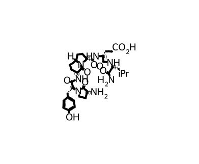 CC(C)C[C@@H](NC(=O)[C@@H](CCC(=O)O)NC(=O)[C@H]1CC[C@H]2CC[C@@H](NC(=O)[C@@H](Cc3ccc(O)cc3)N3CC[C@@H](N)C3=O)C(=O)N21)C(N)=O